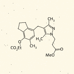 CCOC(=O)Oc1c(C)cc(Cc2c(C)nn(CCC(=O)OC)c2C)c2c1CCC2